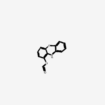 O=[C]Oc1cccc2c1Nc1ccccc1O2